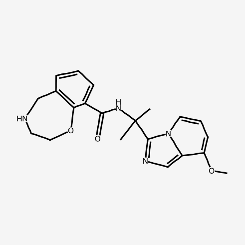 COc1cccn2c(C(C)(C)NC(=O)c3cccc4c3OCCNC4)ncc12